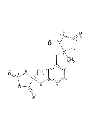 CC1(Cc2cccc(CC3(C)CC(=O)NC3=O)c2)CC(=O)NC1=O